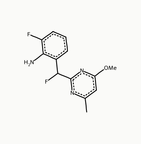 COc1cc(C)nc(C(F)c2cccc(F)c2N)n1